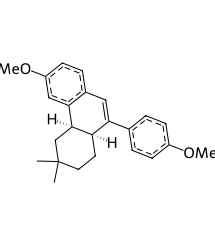 COc1ccc(C2=Cc3ccc(OC)cc3[C@@H]3CC(C)(C)CC[C@H]23)cc1